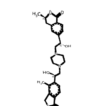 Cc1c([C@@H](O)CN2CCN(C[C@@H](O)c3ccc4c(c3)C[C@@H](C)OC4=O)CC2)ccc2c1COC2=O